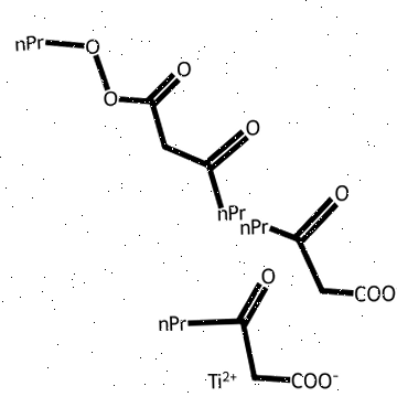 CCCC(=O)CC(=O)[O-].CCCC(=O)CC(=O)[O-].CCCOOC(=O)CC(=O)CCC.[Ti+2]